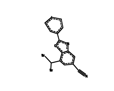 N#Cc1cc(C(Br)Br)c2oc(-c3cc[c]cc3)nc2c1